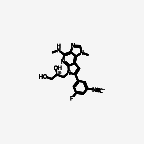 [C-]#[N+]c1cc(F)cc(-c2cc3c4c(ncn4C)c(NC)nc3n2C[C@H](O)CO)c1